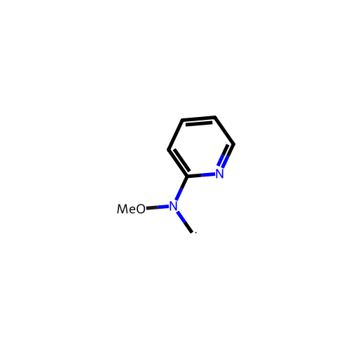 [CH2]N(OC)c1ccccn1